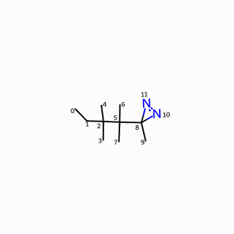 CCC(C)(C)C(C)(C)C1(C)N=N1